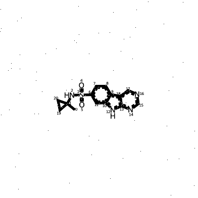 CC1(NS(=O)(=O)c2ccc3c(c2)[nH]c2ncncc23)CC1